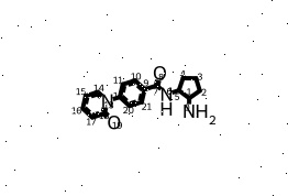 NC1CCCC1NC(=O)c1ccc(-n2ccccc2=O)cc1